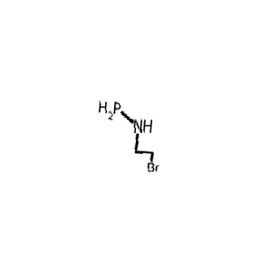 PNCCBr